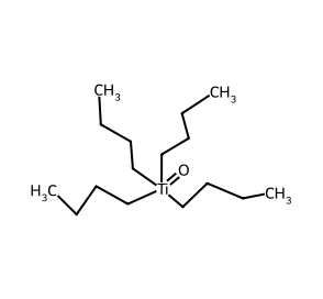 CCC[CH2][Ti](=[O])([CH2]CCC)([CH2]CCC)[CH2]CCC